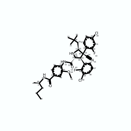 CCC[C@@H](C)NC(=O)c1ccc(NC(=O)[C@@H]2N[C@@H](CC(C)(C)C)[C@](C#N)(c3ccc(Cl)cc3F)[C@H]2c2cccc(Cl)c2F)c(OC)c1